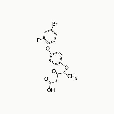 CC(Oc1ccc(Oc2ccc(Br)cc2F)cc1)C(=O)CC(=O)O